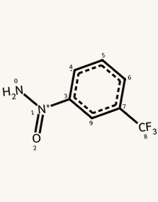 N[N+](=O)c1[c]ccc(C(F)(F)F)c1